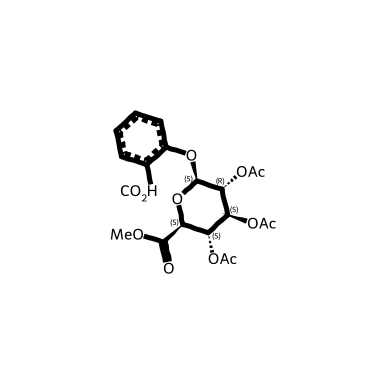 COC(=O)[C@H]1O[C@@H](Oc2ccccc2C(=O)O)[C@H](OC(C)=O)[C@@H](OC(C)=O)[C@@H]1OC(C)=O